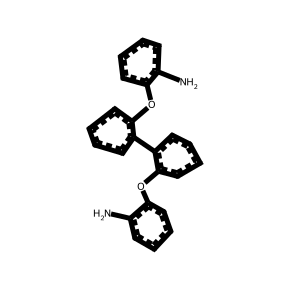 Nc1ccccc1Oc1ccccc1-c1ccccc1Oc1ccccc1N